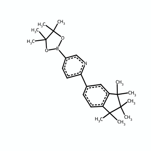 CC1(C)OB(c2ccc(-c3ccc4c(c3)C(C)(C)C(C)(C)C4(C)C)nc2)OC1(C)C